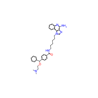 CN(C)CCOC(c1ccccc1)c1ccc(C(=O)NCCCCCCn2cnc3c(N)nc4ccccc4c32)cc1